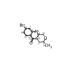 CC1Cn2c(nc3cc(Br)ccc3c2=O)CO1